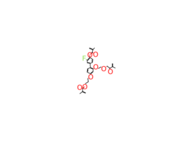 C=C(C)C(=O)COCCOc1cc(OCCCOC(=O)C(=C)C)ccc1-c1ccc(OC(=O)C(=C)C)c(F)c1